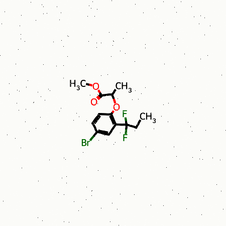 CCC(F)(F)c1cc(Br)ccc1OC(C)C(=O)OC